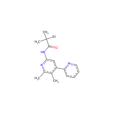 CCC(C)(C)C(=O)Nc1cc(-c2ccccn2)c(C)c(C)n1